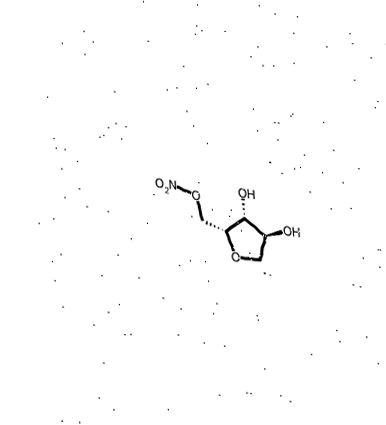 O=[N+]([O-])OC[C@H]1OC[C@H](O)[C@H]1O